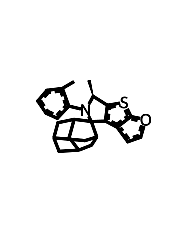 Cc1ccccc1N1[C@@H](C)c2sc3occc3c2C12C1CC3CC(C1)CC2C3